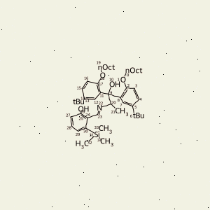 CCCCCCCCOc1ccc(C(C)(C)C)cc1C(O)(c1cc(C(C)(C)C)ccc1OCCCCCCCC)C(C)N=Cc1c(O)cccc1[Si](C)(C)C